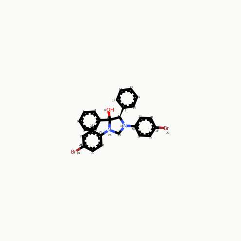 OC1(c2ccccc2)[C@@H](c2ccccc2)N(c2ccc(Br)cc2)CN1c1ccc(Br)cc1